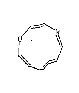 c1ccnccocc1